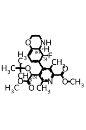 COC(=O)c1nc(C)c([C@H](OC(C)(C)C)C(=O)OC)c(C2=CC=C3OCCN[C@H]3[C@H]2F)c1C